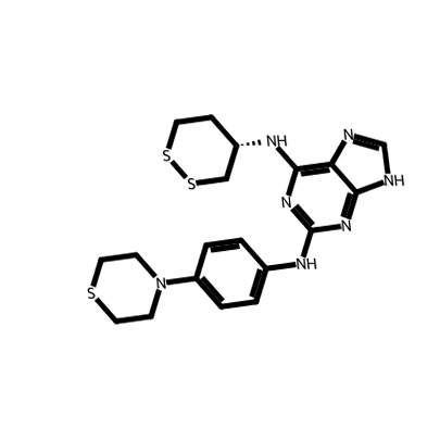 c1nc2c(N[C@H]3CCSSC3)nc(Nc3ccc(N4CCSCC4)cc3)nc2[nH]1